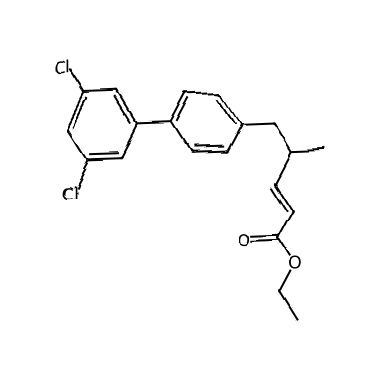 CCOC(=O)/C=C/C(C)Cc1ccc(-c2cc(Cl)cc(Cl)c2)cc1